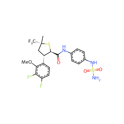 COc1c([C@@H]2C[C@](C)(C(F)(F)F)S[C@H]2C(=O)Nc2ccc(NS(N)(=O)=O)cc2)ccc(F)c1F